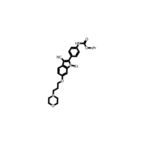 CCCOC(=O)Nc1ccc(-c2c(C#N)c3ccc(OCCCN4CCOCC4)cc3n2CC)cc1